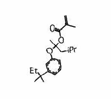 C=C(C)C(=O)OC(C)(CC(C)C)Oc1cccc(C(C)(C)CC)c1